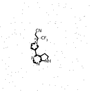 N#CC[C@@H](n1ccc(-c2ncnc3c2CCN3)c1)C(F)(F)F